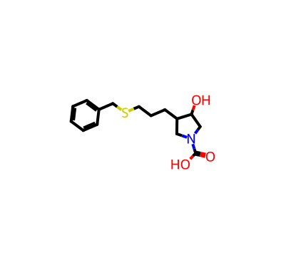 O=C(O)N1CC(O)C(CCCSCc2ccccc2)C1